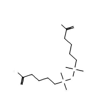 C[Si](C)(CCCCC(=O)O)O[Si](C)(C)CCCCC(=O)O